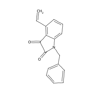 C=Cc1cccc2c1C(=O)C(=O)N2Cc1ccccc1